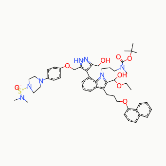 CCOC(O)c1c(CCCOc2cccc3ccccc23)c2cccc(-c3c(CO)n[nH]c3COc3ccc(N4CCN([S+]([O-])N(C)C)CC4)cc3)c2n1CCCN(C)C(=O)OC(C)(C)C